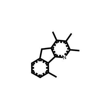 Cc1cccc2c1-c1nc(C)c(C)c(C)c1C2